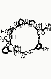 CCCC[C@H](NC)C(=O)N[C@H]1CSCc2cc(cc(C(C)C)c2)CSC[C@@H](C(C)=O)NC(=O)[C@H](Cc2ccccc2)NC(=O)[C@@H](CC(=O)O)NC(=O)[C@H]([C@@H](C)O)NC(=O)[C@@H]2CCCN2C(=O)[C@@H]2CCCN2C1=O